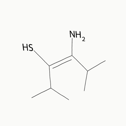 CC(C)/C(N)=C(/S)C(C)C